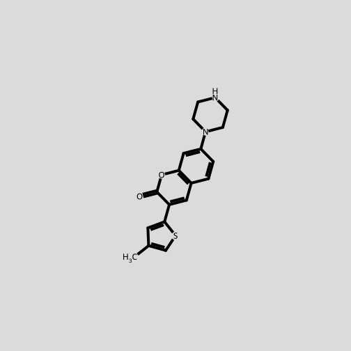 Cc1csc(-c2cc3ccc(N4CCNCC4)cc3oc2=O)c1